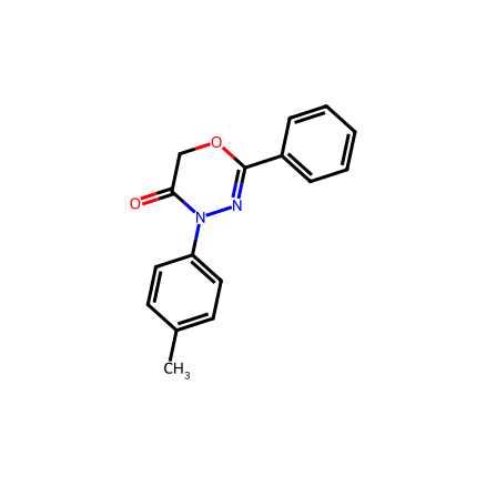 Cc1ccc(N2N=C(c3ccccc3)OCC2=O)cc1